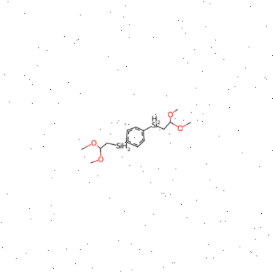 COC(C[SiH2]c1ccc([SiH2]CC(OC)OC)cc1)OC